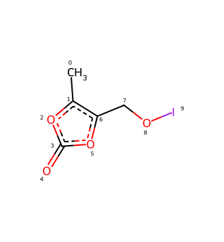 Cc1oc(=O)oc1COI